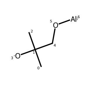 CC(C)([O])C[O][Al]